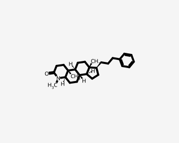 CN1C(=O)CC[C@]2(C)[C@H]3CC[C@]4(C)[C@@H](CCCc5ccccc5)CC[C@H]4[C@@H]3CC[C@@H]12